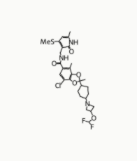 CSc1cc(C)[nH]c(=O)c1CNC(=O)c1cc(Cl)c2c(c1C)OC(C)(C1CCC(N3CC(OC(F)F)C3)CC1)O2